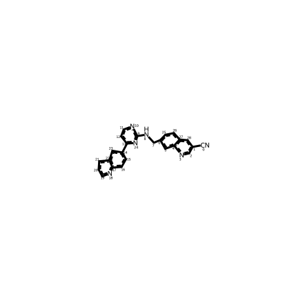 N#Cc1cnc2cc(CNc3nccc(-c4ccc5ncccc5c4)n3)ccc2c1